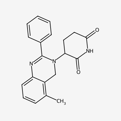 Cc1cccc2c1CN(C1CCC(=O)NC1=O)C(c1ccccc1)=N2